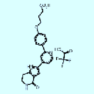 O=C(O)C(F)(F)F.O=C(O)CCCOc1ccc(-c2cc(-c3cc4c([nH]3)CCNC4=O)ccn2)cc1